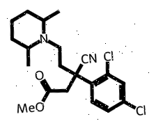 COC(=O)CC(C#N)(CCN1C(C)CCCC1C)c1ccc(Cl)cc1Cl